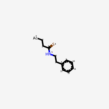 CC(=O)CCC(=S)NCCc1ccccc1